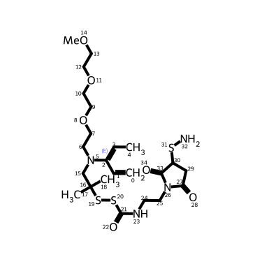 C=C/C(=C\C)N(CCOCCOCCOC)CC(C)(C)SSC(=O)NCCN1C(=O)CC(SN)C1=O